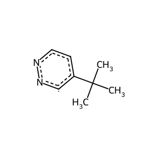 CC(C)(C)c1[c]nncc1